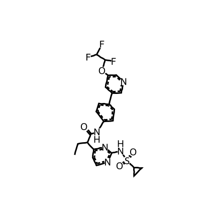 CCC(C(=O)Nc1ccc(-c2cncc(OC(F)C(F)F)c2)cc1)c1ccnc(NS(=O)(=O)C2CC2)n1